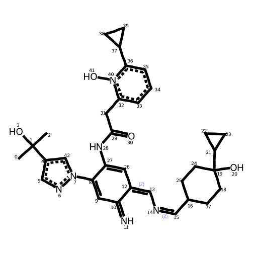 CC(C)(O)c1cnn(C2=CC(=N)/C(=C\N=C/C3CCC(O)(C4CC4)CC3)C=C2NC(=O)Cc2cccc(C3CC3)[n+]2O)c1